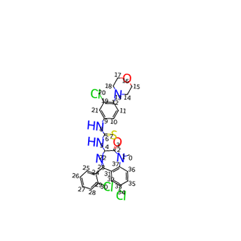 CN1C(=O)C(NC(=S)Nc2ccc(N3CCOCC3)c(Cl)c2)N=C(c2ccccc2Cl)c2cc(Cl)ccc21